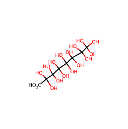 O=C(O)C(O)(O)C(O)(O)C(O)(O)C(O)(O)C(O)(O)C(O)(O)C(O)(O)O